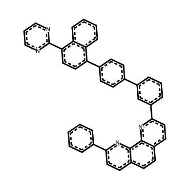 c1ccc(-c2ccc3ccc4ccc(-c5cccc(-c6ccc(-c7ccc(-c8ncccn8)c8ccccc78)cc6)c5)nc4c3n2)cc1